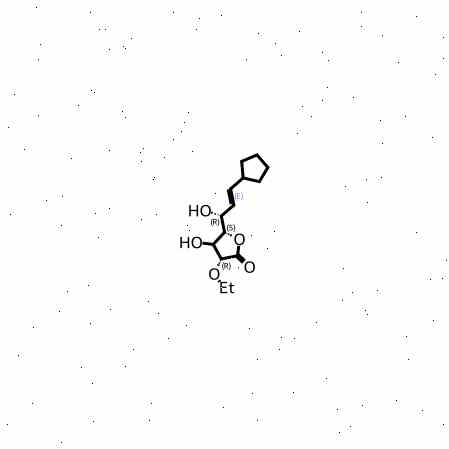 CCO[C@H]1C(=O)O[C@@H]([C@H](O)/C=C/C2CCCC2)C1O